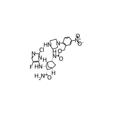 NC(=O)[C@H]1[C@H]2C[C@@H]([C@H]1Nc1nc(Cl)ncc1F)[C@H](NC(=O)OCc1cc([N+](=O)[O-])ccc1N1CCNCC1)C2